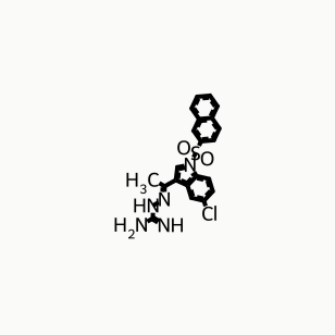 CC(=NNC(=N)N)c1cn(S(=O)(=O)c2ccc3ccccc3c2)c2ccc(Cl)cc12